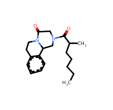 CCCCCC(C)C(=O)N1CC(=O)N2CCc3ccccc3C2C1